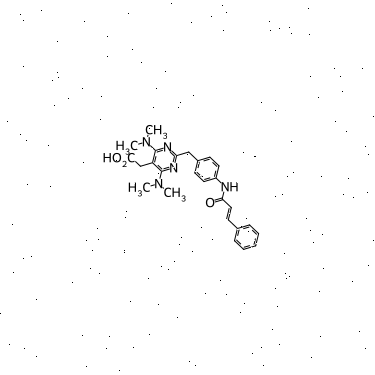 CN(C)c1nc(Cc2ccc(NC(=O)C=Cc3ccccc3)cc2)nc(N(C)C)c1CC(=O)O